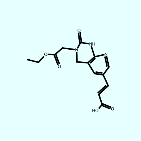 CCOC(=O)CN1Cc2cc(C=CC(=O)O)cnc2NC1=O